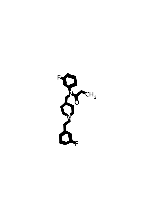 CCC(=O)N(CC1CCN(CCc2cccc(F)c2)CC1)c1cccc(F)c1